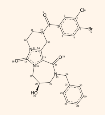 O=C(c1ccc(Br)c(Cl)c1)N1CCn2c(c3n(c2=O)C[C@H](O)CN(Cc2ccccc2)C3=O)C1